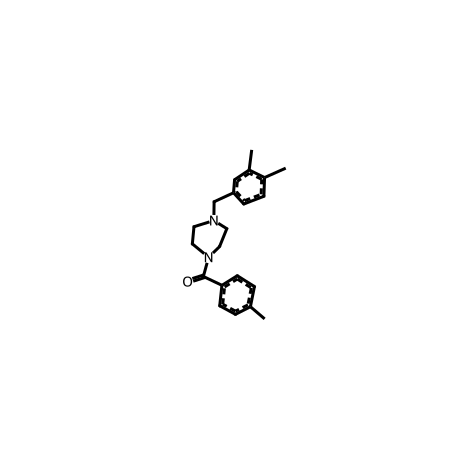 Cc1ccc(C(=O)N2CCN(Cc3ccc(C)c(C)c3)CC2)cc1